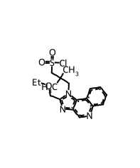 CCOCc1nc2cnc3ccccc3c2n1CC(C)(C)CS(=O)(=O)Cl